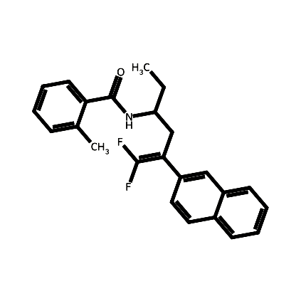 CCC(CC(=C(F)F)c1ccc2ccccc2c1)NC(=O)c1ccccc1C